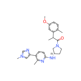 COc1ccc(C)c(C(C)C(=O)N2CC[C@H](Nc3ccc(-c4cn(C)cn4)c(C)n3)C2)c1